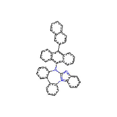 c1ccc2c(c1)-c1ccccc1-n1c(nc3ccccc31)N2c1c2ccccc2c(-c2ccc3ccccc3c2)c2ccccc12